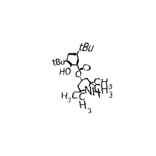 CC1(C)CC(OC(=O)c2cc(C(C)(C)C)cc(C(C)(C)C)c2O)CC(C)(C)N1